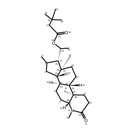 CC1C[C@H]2[C@@H]3CC[C@H]4N(C)C(=O)CC[C@]4(C)[C@H]3CC[C@]2(C)[C@H]1C(C)OC(=O)CC(C)(C)C